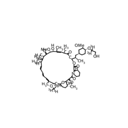 [2H]C([2H])([2H])O[C@H]1C[C@@H]2CC[C@@H](C)[C@@](O)(O2)C(=O)C(=O)N2CCCC[C@H]2C(=O)O[C@H]([C@H](C)C[C@@H]2CC[C@@H](OC([2H])([2H])CO)[C@H](OC)C2)CC(=O)[C@H](C)/C=C(\C)[C@@H](O)[C@@H](OC)C(=O)[C@H](C)C([2H])(C)[C@]([2H])(C)/C=C/C=C/C=C/1C